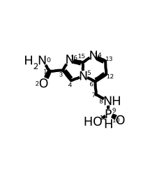 NC(=O)c1cn2c(CN[PH](=O)O)ccnc2n1